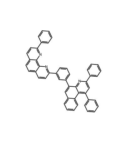 c1ccc(-c2cc(-c3ccccc3)c3c(n2)c(-c2cccc(-c4ccc5ccc6ccc(-c7ccccc7)nc6c5n4)c2)cc2ccccc23)cc1